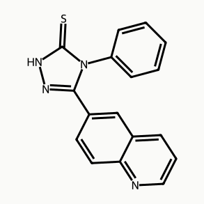 S=c1[nH]nc(-c2ccc3ncccc3c2)n1-c1ccccc1